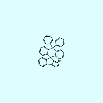 Brc1cccc2c1C1(c3ccccc3-2)c2ccccc2C(c2ccccc2)(c2ccccc2)c2ccccc21